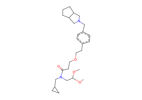 COC(CN(CC1CC1)C(=O)CCOCCc1ccc(CN2CC3CCCC3C2)cc1)OC